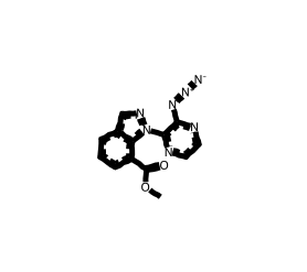 COC(=O)c1cccc2cnn(-c3nccnc3N=[N+]=[N-])c12